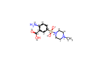 CN1CCN(S(=O)(=O)c2ccc(N)c(C(=O)O)c2)CC1